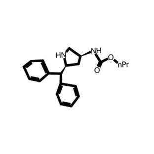 CCCOC(=O)N[C@@H]1CN[C@H](C(c2ccccc2)c2ccccc2)C1